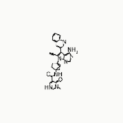 C#Cc1c(-c2cnc3ccccc3c2)c2c(N)ncnc2n1C12CCC(NC(=O)C3=CNCN(C)C3=O)(CC1)C2